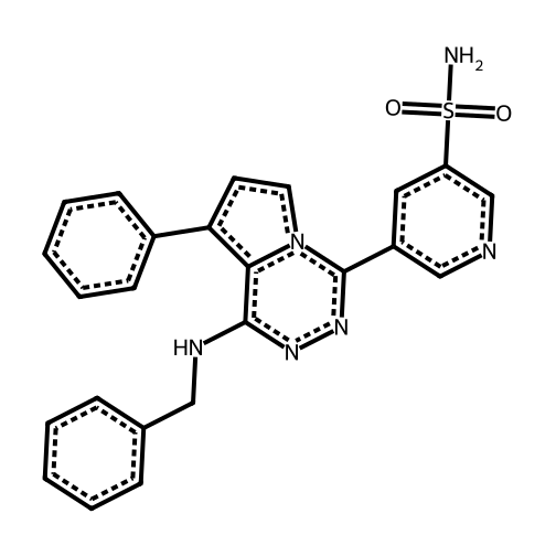 NS(=O)(=O)c1cncc(-c2nnc(NCc3ccccc3)c3c(-c4ccccc4)ccn23)c1